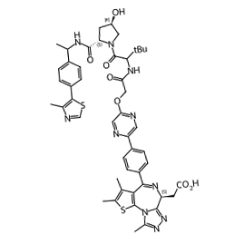 Cc1ncsc1-c1ccc(C(C)NC(=O)[C@@H]2C[C@@H](O)CN2C(=O)C(NC(=O)COc2cnc(-c3ccc(C4=N[C@@H](CC(=O)O)c5nnc(C)n5-c5sc(C)c(C)c54)cc3)cn2)C(C)(C)C)cc1